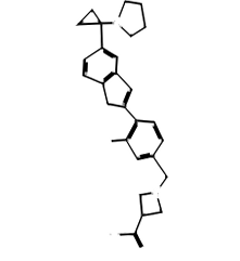 O=C(O)C1CN(Cc2ccc(C3=Cc4cc(C5(N6CCCC6)CC5)ccc4C3)c(F)c2)C1